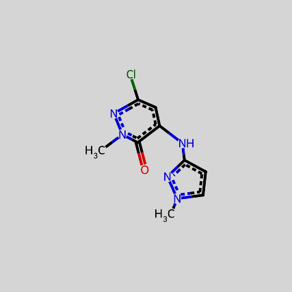 Cn1ccc(Nc2cc(Cl)nn(C)c2=O)n1